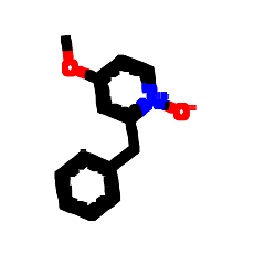 COc1cc[n+]([O-])c(Cc2[c]cccc2)c1